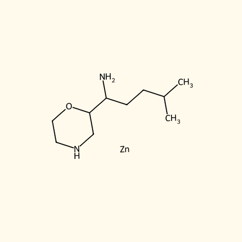 CC(C)CCC(N)C1CNCCO1.[Zn]